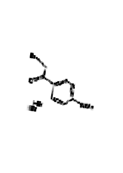 Br.Br.CNc1ccc(C(=O)CBr)cn1